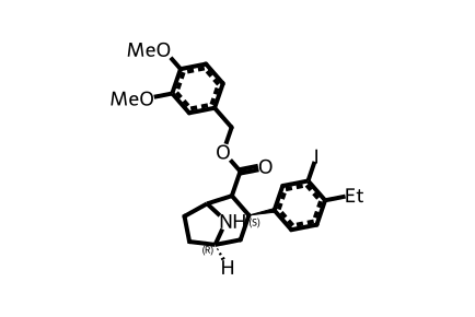 CCc1ccc([C@H]2C[C@H]3CCC(N3)C2C(=O)OCc2ccc(OC)c(OC)c2)cc1I